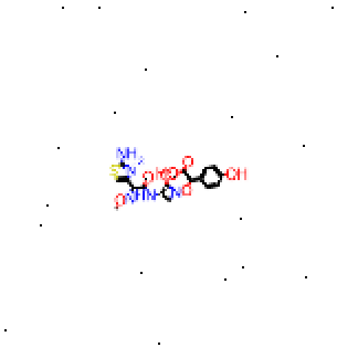 CON=C(C(=O)N[C@H]1CN(OC(C(=O)O)c2ccc(O)cc2)C1=O)c1csc(N)n1